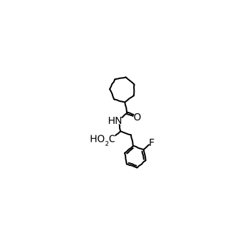 O=C(NC(Cc1ccccc1F)C(=O)O)C1CCCCCC1